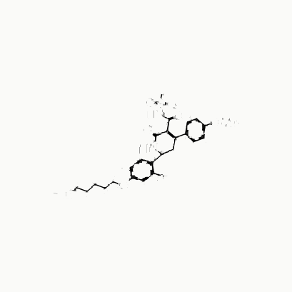 COc1ccc(C2=C(C(=O)NS(C)(=O)=O)C(=O)N[C@](C)(c3ccc(OCCCCCC(F)(F)F)cc3F)C2)cc1